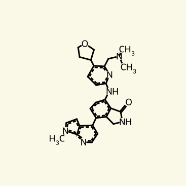 CN(C)Cc1nc(Nc2ccc(-c3ccnc4c3ccn4C)c3c2C(=O)NC3)ccc1C1CCOC1